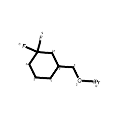 CC(C)OCC1CCCC(F)(F)C1